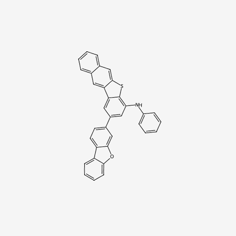 c1ccc(Nc2cc(-c3ccc4c(c3)oc3ccccc34)cc3c2sc2cc4ccccc4cc23)cc1